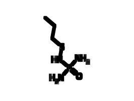 CCCSNP(N)(N)=O